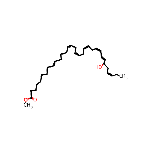 CC/C=C\CC(O)/C=C/C=C\C/C=C\C/C=C\C/C=C\CCCCCCCCCCCCC(=O)OC